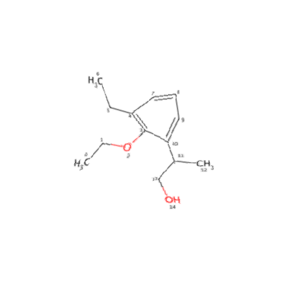 CCOc1c(CC)cccc1[C](C)CO